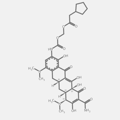 CN(C)c1cc(NC(=O)OCOC(=O)CC2CCCC2)c(O)c2c1C[C@H]1C[C@H]3[C@H](N(C)C)C(O)=C(C(N)=O)C(=O)[C@@]3(O)C(O)=C1C2=O